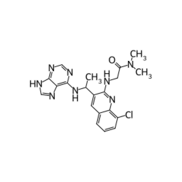 CC(Nc1ncnc2[nH]cnc12)c1cc2cccc(Cl)c2nc1NCC(=O)N(C)C